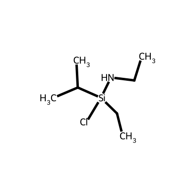 CCN[Si](Cl)(CC)C(C)C